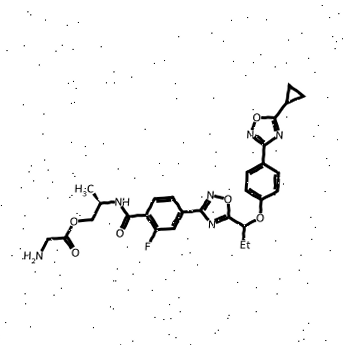 CCC(Oc1ccc(-c2noc(C3CC3)n2)cc1)c1nc(-c2ccc(C(=O)N[C@H](C)COC(=O)CN)c(F)c2)no1